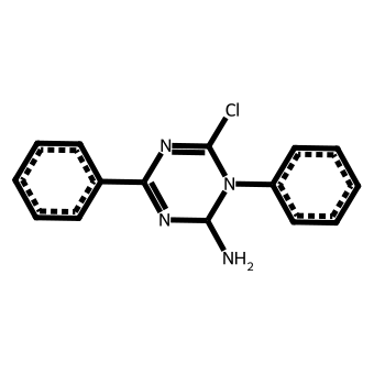 NC1N=C(c2ccccc2)N=C(Cl)N1c1ccccc1